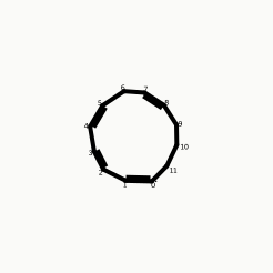 [C]1=CC=CC=CCC=CCCC1